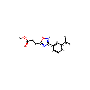 COC(=O)CCc1nc(-c2cccc(C(C)C)c2)no1